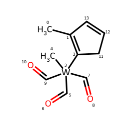 CC1=[C]([W]([CH3])([CH]=O)([CH]=O)[CH]=O)CC=C1